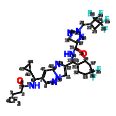 O=C(CCC(F)(F)F)NC(c1cnn2cc([C@@H](NC(=O)c3cnn(CC4CC(F)(F)C4(F)F)n3)C3CCC(F)(F)CC3)nc2c1)C1CC1